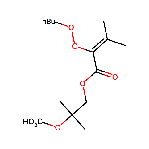 CCCCOOC(C(=O)OCC(C)(C)OC(=O)O)=C(C)C